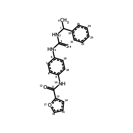 CC(NC(=S)Nc1ccc(NC(=O)c2ccco2)cc1)c1ccccc1